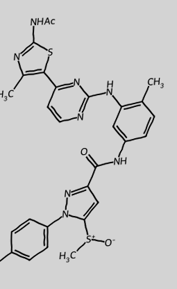 CC(=O)Nc1nc(C)c(-c2ccnc(Nc3cc(NC(=O)c4cc([S+](C)[O-])n(-c5ccc(F)cc5)n4)ccc3C)n2)s1